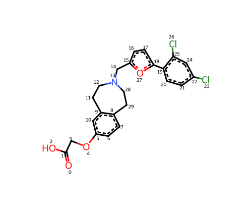 O=C(O)COc1ccc2c(c1)CCN(Cc1ccc(-c3ccc(Cl)cc3Cl)o1)CC2